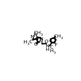 Cc1ccc(C(C)NC(=O)Cn2ncc3c(c(C)nn3C)c2=O)c(F)c1